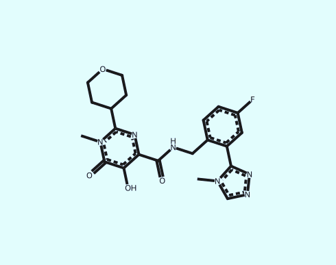 Cn1cnnc1-c1cc(F)ccc1CNC(=O)c1nc(C2CCOCC2)n(C)c(=O)c1O